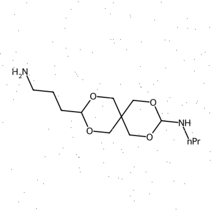 CCCNC1OCC2(COC(CCCN)OC2)CO1